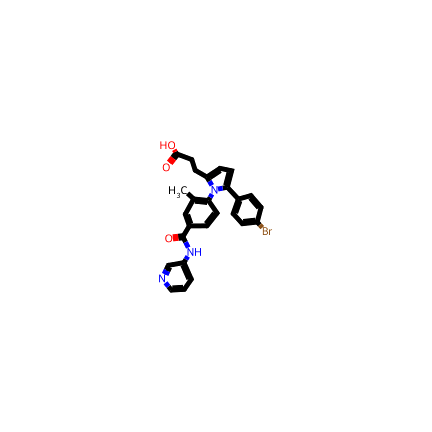 Cc1cc(C(=O)Nc2cccnc2)ccc1-n1c(CCC(=O)O)ccc1-c1ccc(Br)cc1